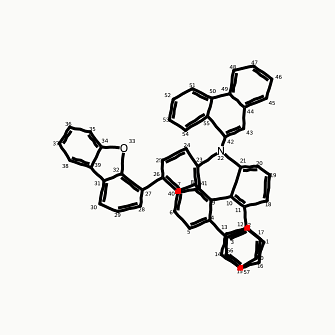 c1ccc(-c2ccccc2-c2c(-c3ccccc3)cccc2N(c2ccc(-c3cccc4c3oc3ccccc34)cc2)c2cc3ccccc3c3ccccc23)cc1